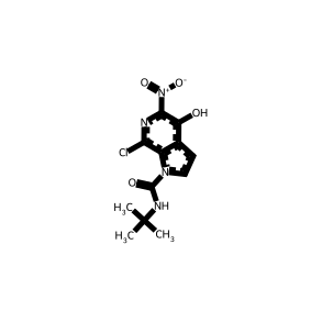 CC(C)(C)NC(=O)n1ccc2c(O)c([N+](=O)[O-])nc(Cl)c21